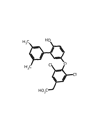 Cc1cc(C)cc(-c2cc(Oc3c(Cl)cc(CC(=O)O)cc3Cl)ccc2O)c1